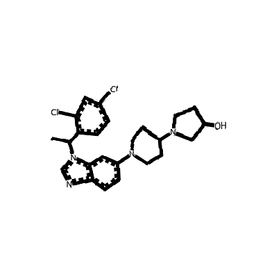 CC(c1ccc(Cl)cc1Cl)n1cnc2ccc(N3CCC(N4CCC(O)C4)CC3)cc21